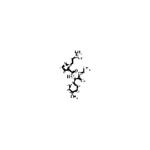 CCOC(=O)[C@@H](NC(=O)c1ccnn1CC[S+](C)[O-])[C@H]1CC[C@H](C)CC1